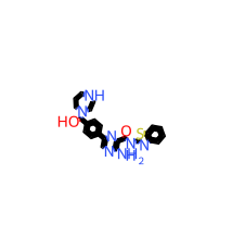 Nc1ncc(-c2ccc(C(O)N3CCCNCC3)cc2)nc1C(=O)Nc1nc2ccccc2s1